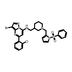 O=S(=O)(c1ccccc1)n1cccc1CN1CCCC(CNc2cc(-c3ccccc3Cl)nc3c(Br)cnn23)C1